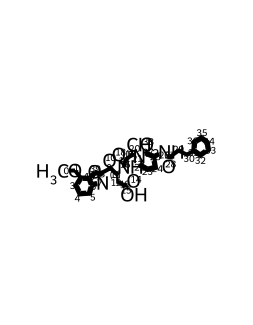 COc1cccc2nc(C(=O)[C@H](CC(=O)O)NC(=O)[C@H](C)n3cccc(NC(=O)CCc4ccccc4)c3=O)oc12